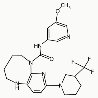 COc1cncc(NC(=O)N2CCCCNc3ccc(N4CCCC(C(F)(F)F)C4)nc32)c1